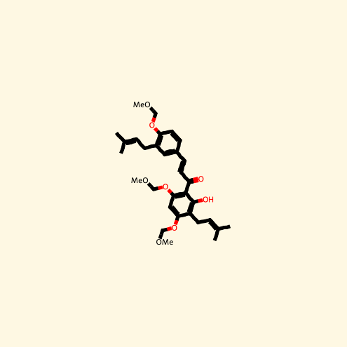 COCOc1ccc(/C=C/C(=O)c2c(OCOC)cc(OCOC)c(CC=C(C)C)c2O)cc1CC=C(C)C